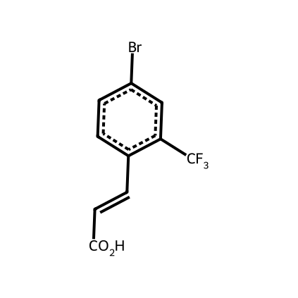 O=C(O)C=Cc1ccc(Br)cc1C(F)(F)F